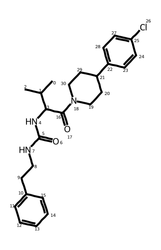 CC(C)C(NC(=O)NCCc1ccccc1)C(=O)N1CCC(c2ccc(Cl)cc2)CC1